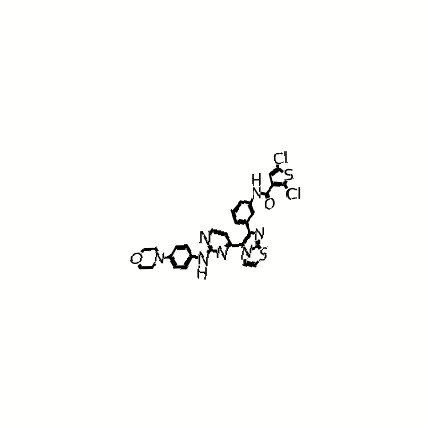 O=C(Nc1cccc(-c2nc3sccn3c2-c2ccnc(Nc3ccc(N4CCOCC4)cc3)n2)c1)c1cc(Cl)sc1Cl